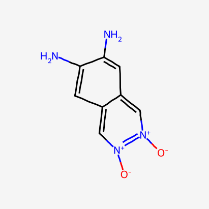 Nc1cc2c[n+]([O-])[n+]([O-])cc2cc1N